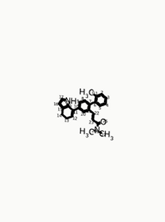 Cc1ccccc1-c1ccc(C2=CCCc3cc[nH]c32)cc1/C=C/C(=O)N(C)C